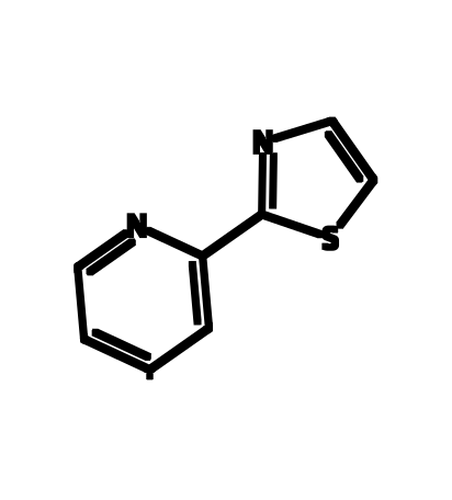 [c]1ccnc(-c2nccs2)c1